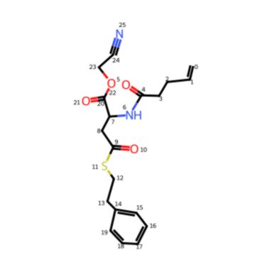 C=CCCC(=O)NC(CC(=O)SCCc1ccccc1)C(=O)OCC#N